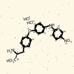 Cl.Cl.N[C@@H](Cc1ccc(Oc2ccc(Nc3ccc([N+](=O)[O-])cn3)cc2)cc1)C(=O)O